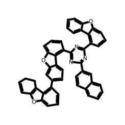 C1=Cc2oc3cccc(-c4ccc5c(c4)oc4cccc(-c6nc(-c7ccc8ccccc8c7)nc(-c7cccc8oc9ccccc9c78)n6)c45)c3c2CC1